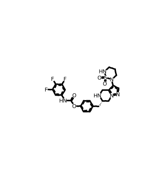 O=C(Nc1cc(F)c(F)c(F)c1)Oc1ccc(C[C@H]2Cn3ncc(N4CCCNS4(=O)=O)c3CN2)cc1